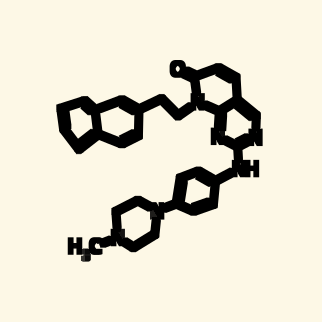 CN1CCN(c2ccc(Nc3ncc4ccc(=O)n(CCc5ccc6ccccc6c5)c4n3)cc2)CC1